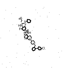 CN(C)CC[C@H](CSc1ccccc1)Nc1c(F)cc(S(=O)(=O)Nc2ncnc3c2CCN(C2CCN(Cc4ccccc4-c4ccc(Cl)cc4)CC2)C3)cc1F